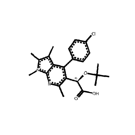 Cc1nc2c(c(C)c(C)n2C)c(-c2ccc(Cl)cc2)c1[C@@H](OC(C)(C)C)C(=O)O